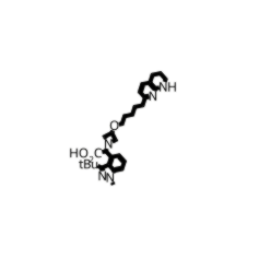 Cn1nc(C(C)(C)C)c2c(C(C(=O)O)N3CC(OCCCCCc4ccc5c(n4)NCCC5)C3)cccc21